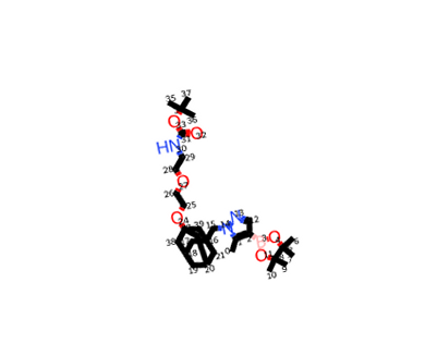 Cc1c(B2OC(C)(C)C(C)(C)O2)cnn1CC12CC3CC(C1)CC(OCCOCCNC(=O)OC(C)(C)C)(C3)C2